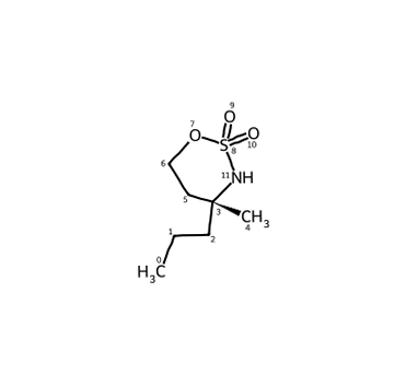 CCC[C@]1(C)CCOS(=O)(=O)N1